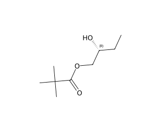 CC[C@@H](O)COC(=O)C(C)(C)C